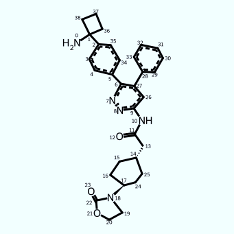 NC1(c2ccc(-c3nnc(NC(=O)C[C@H]4CC[C@H](N5CCOC5=O)CC4)cc3-c3ccccc3)cc2)CCC1